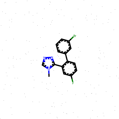 Cn1cnnc1-c1cc(F)ccc1-c1cccc(Br)c1